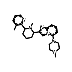 Cc1cccnc1C1CCCC(c2cn3c(N4CCN(C)CC4)cccc3n2)N1C